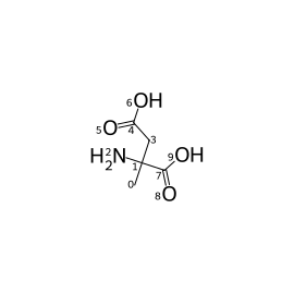 CC(N)(CC(=O)O)C(=O)O